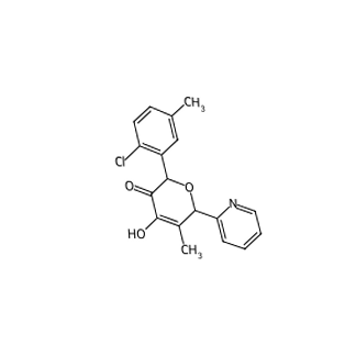 CC1=C(O)C(=O)C(c2cc(C)ccc2Cl)OC1c1ccccn1